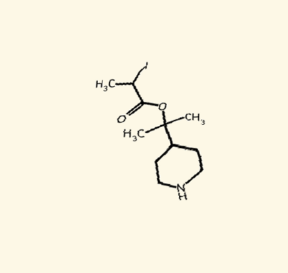 CC(I)C(=O)OC(C)(C)C1CCNCC1